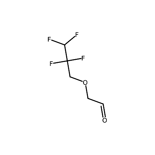 O=CCOCC(F)(F)C(F)F